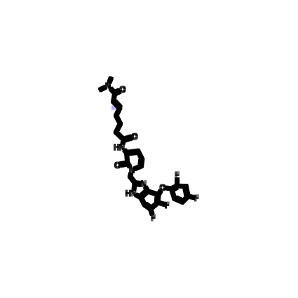 CN(C)C(=O)/C=C/CCCC(=O)Nc1cccn(Cc2nc3c(Oc4ccc(F)cc4F)c(F)c(F)cc3[nH]2)c1=O